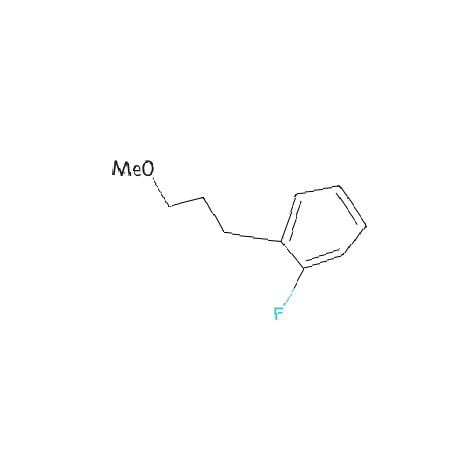 COCCCc1ccccc1F